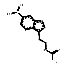 CC(=O)NCCc1csc2cc(B(O)O)ccc12